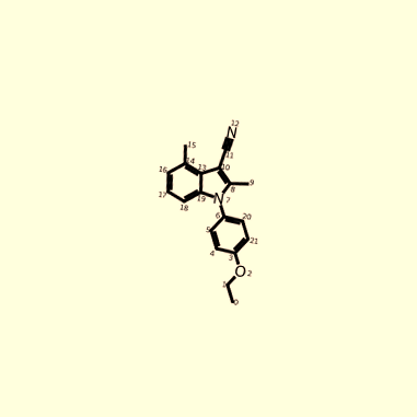 CCOc1ccc(-n2c(C)c(C#N)c3c(C)cccc32)cc1